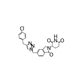 O=C1CCC(N2Cc3cc(Cn4cc(Cc5ccc(Cl)cc5)nn4)ccc3C2=O)C(=O)N1